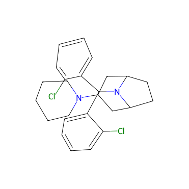 Clc1ccccc1C(c1ccccc1Cl)N1C2CCC1CC(N1CCCCC1)C2